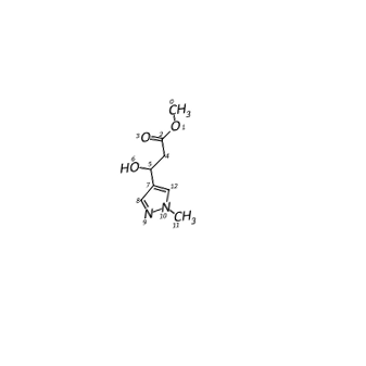 COC(=O)CC(O)c1cnn(C)c1